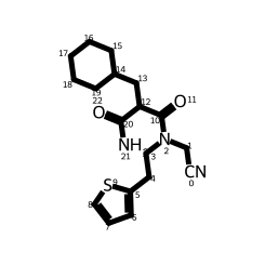 N#CCN(CCc1cccs1)C(=O)C(CC1CCCCC1)C(N)=O